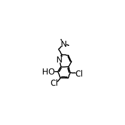 CN(C)Cc1ccc2c(Cl)cc(Cl)c(O)c2n1